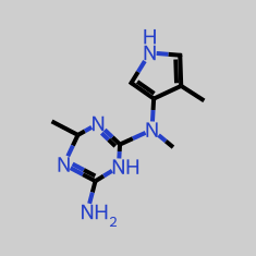 Cc1c[nH]cc1N(C)C1=NC(C)N=C(N)N1